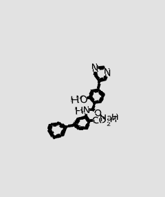 O=C(Nc1cc(-c2ccccc2)ccc1C(=O)O)c1ccc(-c2cncnc2)cc1O.[NaH]